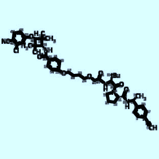 C#Cc1ccc([C@H](C)NC(=O)[C@@H]2CCCN2C(=O)[C@@H](NC(=O)COCCCCOc2ccc(C(=O)N[C@H]3C(C)(C)[C@H](Oc4ccc(C#N)c(Cl)c4)C3(C)C)cc2)C(C)(C)C)cc1